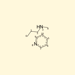 CCCNC.c1ccncc1